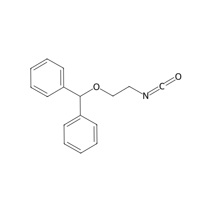 O=C=NCCOC(c1ccccc1)c1ccccc1